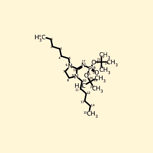 CCCCCCN1CCN(CCCCCC)C1=NP(=O)(OC(C)(C)C)OC(C)(C)C